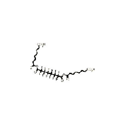 O=C(O)CCCCCCC(=O)OC(=O)C(F)(F)C(F)(F)C(F)(F)C(F)(F)C(F)(F)C(F)(F)C(=O)OC(=O)CCCCCCC(=O)O